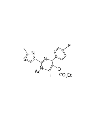 CCOC(=O)OC1=C(C)N(C(C)=O)C(c2csc(C)n2)=NC1c1ccc(F)cc1